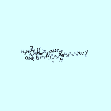 COc1cc(N)c(Cl)cc1C(=O)N[C@@H]1CCN(CCC(C)CCC(=O)NCCCCCCCC(=O)O)C(OC)C1